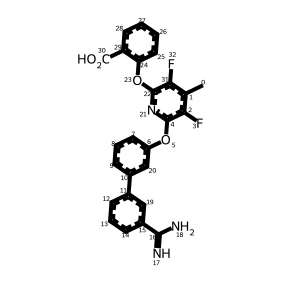 Cc1c(F)c(Oc2cccc(-c3cccc(C(=N)N)c3)c2)nc(Oc2ccccc2C(=O)O)c1F